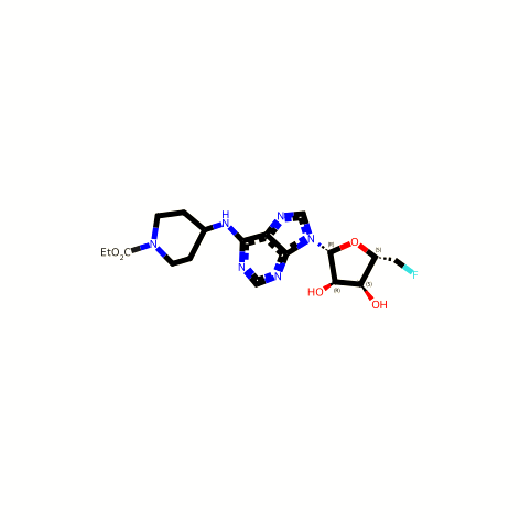 CCOC(=O)N1CCC(Nc2ncnc3c2ncn3[C@@H]2O[C@H](CF)[C@@H](O)[C@H]2O)CC1